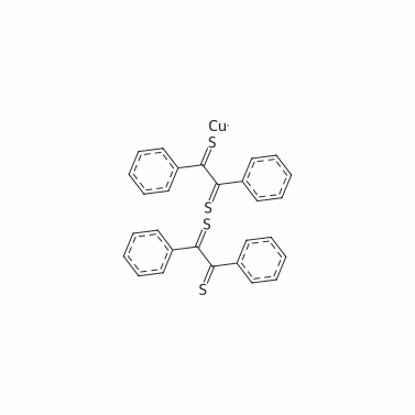 S=C(C(=S)c1ccccc1)c1ccccc1.S=C(C(=S)c1ccccc1)c1ccccc1.[Cu]